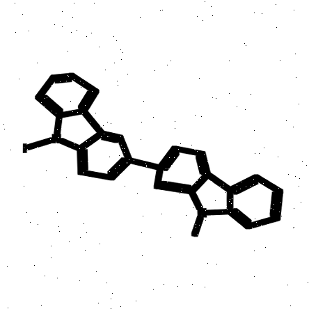 Cn1c2ccccc2c2ccc(-c3ccc4c(c3)c3ccccc3n4I)cc21